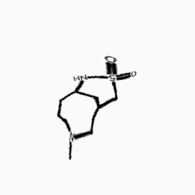 CN1CCC2NS(=O)(=O)CC2C1